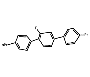 CCCc1ccc(-c2ccc(-c3ccc(CC)cc3)cc2F)cc1